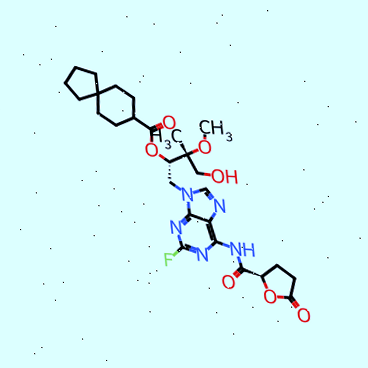 CO[C@](C)(CO)[C@H](Cn1cnc2c(NC(=O)[C@H]3CCC(=O)O3)nc(F)nc21)OC(=O)C1CCC2(CCCC2)CC1